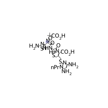 CCCN1C(SCC2=C(C(=O)O)N3C(=O)C(NC(=O)/C(=N\OC(C)(C)C(=O)O)c4nsc(N)n4)[C@@H]3SC2)=NC(N)=CC1N